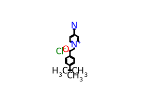 CC(C)(C)c1ccc(C(=O)C[n+]2ccc(C#N)cc2)cc1.[Cl-]